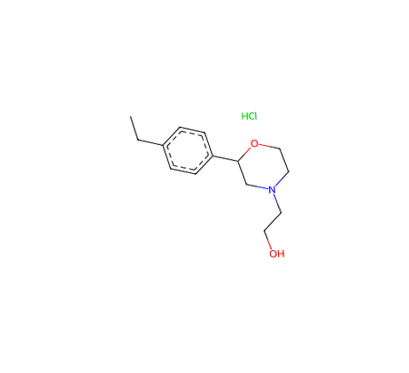 CCc1ccc(C2CN(CCO)CCO2)cc1.Cl